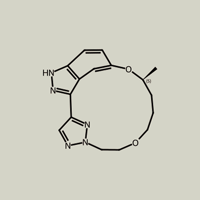 C[C@H]1CCCOCCn2ncc(n2)-c2n[nH]c3ccc(cc23)O1